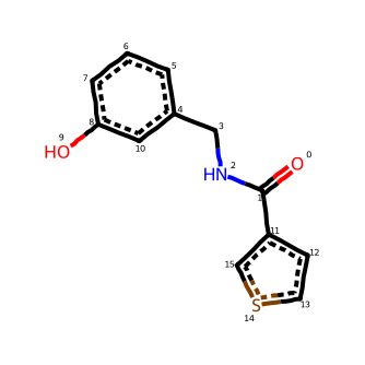 O=C(NCc1cccc(O)c1)c1ccsc1